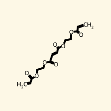 C=CC(=O)OCCOC(=O)/C=C/C(=O)OCCOC(=O)C=C